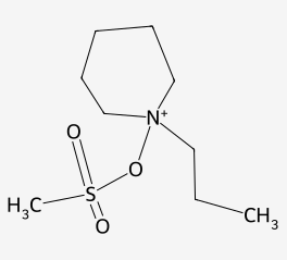 CCC[N+]1(OS(C)(=O)=O)CCCCC1